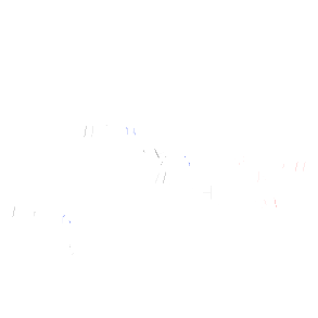 CN(C)c1ccccc1.CN(C)c1ccccc1.CN(C)c1ccccc1.OB(O)O